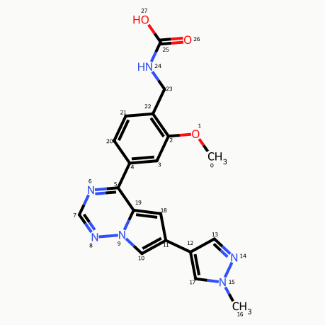 COc1cc(-c2ncnn3cc(-c4cnn(C)c4)cc23)ccc1CNC(=O)O